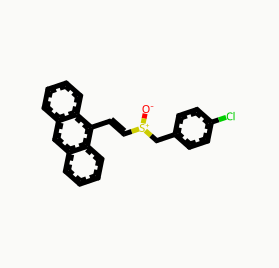 [O-][S+](/C=C/c1c2ccccc2cc2ccccc12)Cc1ccc(Cl)cc1